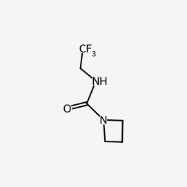 O=C(NCC(F)(F)F)N1CCC1